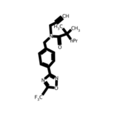 C#CCN(Cc1ccc(-c2noc(C(F)(F)F)n2)cc1)C(=O)C(C)(C)CCC